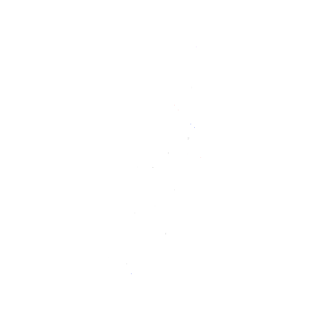 CN(C)C(=O)CCC(=O)OCOC(=O)c1cccc2c1OB(O)[C@@H](NC(=O)CCCC(F)(F)F)C2